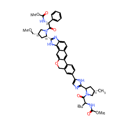 CCC(C)C(NC(=O)OC)C(=O)N1C[C@@H](C)CC1c1ncc(-c2ccc3c(c2)COc2cc4c(ccc5nc([C@@H]6C[C@H](COC)CN6C(=O)[C@H](NC(=O)OC)c6ccccc6)[nH]c54)cc2-3)[nH]1